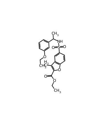 CCOC(=O)c1oc2ccc(S(=O)(=O)NC(C)c3cccc(OCC)c3)cc2c1C